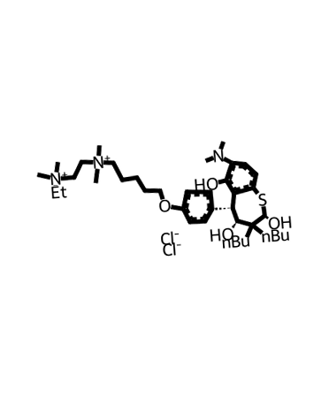 CCCCC1(CCCC)[C@H](O)[C@H](c2ccc(OCCCCC[N+](C)(C)CC[N+](C)(C)CC)cc2)c2c(ccc(N(C)C)c2O)S[C@@H]1O.[Cl-].[Cl-]